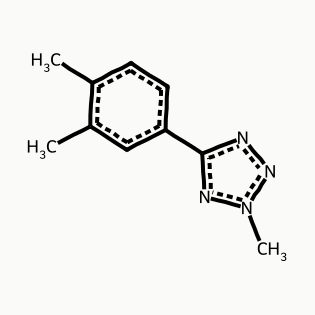 Cc1ccc(-c2nnn(C)n2)cc1C